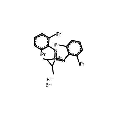 CC(C)c1cccc(C(C)C)c1[N]=[Ni+2]1(=[N]c2c(C(C)C)cccc2C(C)C)[CH](C)[CH]1C.[Br-].[Br-]